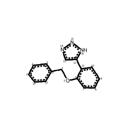 c1ccc(COc2ccccc2-c2cnn[nH]2)cc1